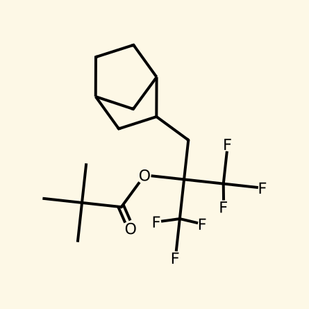 CC(C)(C)C(=O)OC(CC1CC2CCC1C2)(C(F)(F)F)C(F)(F)F